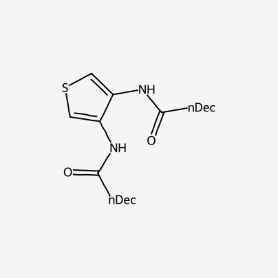 CCCCCCCCCCC(=O)Nc1cscc1NC(=O)CCCCCCCCCC